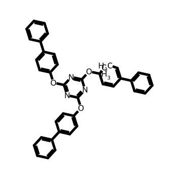 C/C=C(\C=C/C(C)Oc1nc(Oc2ccc(-c3ccccc3)cc2)nc(Oc2ccc(-c3ccccc3)cc2)n1)c1ccccc1